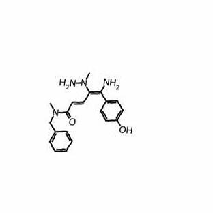 CN(Cc1ccccc1)C(=O)/C=C/C(=C(/N)c1ccc(O)cc1)N(C)N